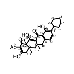 CC(=O)C1=C(O)C[C@@]2(C)C[C@@]3(C)Cc4ccc(C5CCCCC5)c(O)c4C(=O)C3=C(O)[C@@]2(C)C1=O